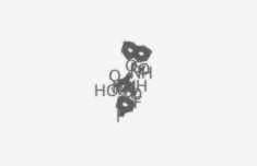 O=C(NO)C(CNS(=O)(=O)c1cccc2ccccc12)NS(=O)(=O)c1ccc(F)cc1F